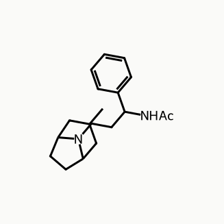 CC(=O)NC(CCN1C2CCC1CC(C)C2)c1ccccc1